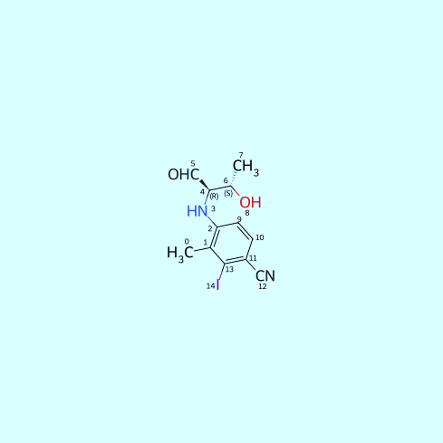 Cc1c(N[C@@H](C=O)[C@H](C)O)ccc(C#N)c1I